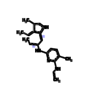 C=CNc1nc(NC(=C/C)/C=c2/[nH]cc(C)c2=CC)ccc1C